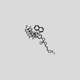 CCCCOC(=O)OC1CCS(OS(=O)(=O)C(F)(F)C(F)(F)C(F)(F)C(F)(F)F)(c2cccc3ccccc23)C1